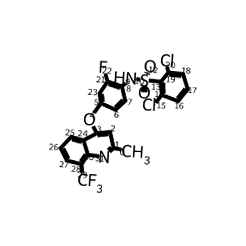 Cc1cc(Oc2ccc(NS(=O)(=O)c3c(Cl)cccc3Cl)c(F)c2)c2cccc(C(F)(F)F)c2n1